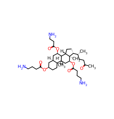 CC(=O)CC[C@@H](C)[C@H]1CC[C@H]2[C@@H]3[C@H](OC(=O)CCN)C[C@@H]4C[C@H](OC(=O)CCCN)CC[C@]4(C)[C@H]3C[C@H](OC(=O)CCCN)[C@]12C